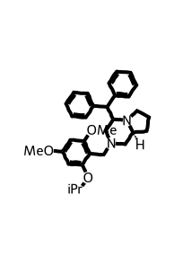 COc1cc(OC)c(CN2CC(C(c3ccccc3)c3ccccc3)N3CCC[C@H]3C2)c(OC(C)C)c1